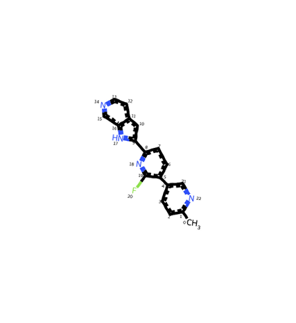 Cc1ccc(-c2ccc(-c3cc4ccncc4[nH]3)nc2F)cn1